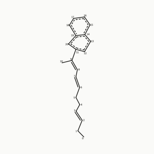 CCC=CCCC=CC=C(C)c1ccc2ccccc2c1